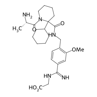 COc1cc(C(=N)NCC(=O)O)ccc1CNC(=O)C1(C2CCCCC2)CCCCN1C(=O)[C@H](C)N